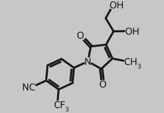 CC1=C(C(O)CO)C(=O)N(c2ccc(C#N)c(C(F)(F)F)c2)C1=O